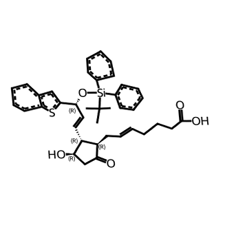 CC(C)(C)[Si](O[C@H](C=C[C@H]1[C@H](O)CC(=O)[C@@H]1CC=CCCCC(=O)O)c1cc2ccccc2s1)(c1ccccc1)c1ccccc1